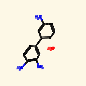 Nc1cccc(-c2ccc(N)c(N)c2)c1.O